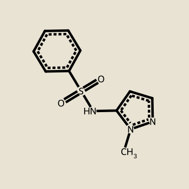 Cn1nccc1NS(=O)(=O)c1ccccc1